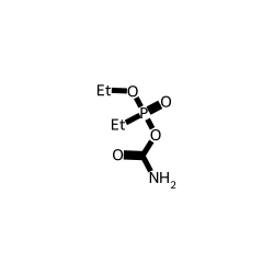 CCOP(=O)(CC)OC(N)=O